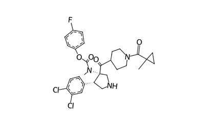 CN(C(=O)Oc1ccc(F)cc1)[C@]1(C(=O)C2CCN(C(=O)C3(C)CC3)CC2)CNC[C@@H]1c1ccc(Cl)c(Cl)c1